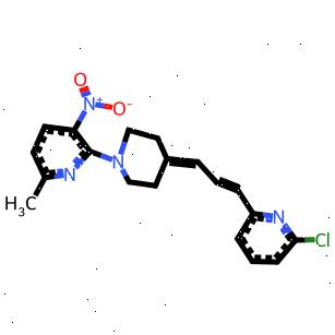 Cc1ccc([N+](=O)[O-])c(N2CCC(=CC=Cc3cccc(Cl)n3)CC2)n1